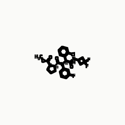 COC(=O)N1CCC[C@H]1C(=O)N(c1cccc(F)c1)[C@H](C(=O)NC1CC(F)(F)C1)c1ccccc1Cl